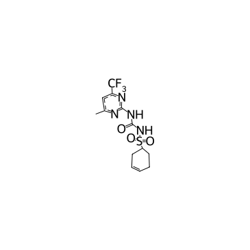 Cc1cc(C(F)(F)F)nc(NC(=O)NS(=O)(=O)C2CC=CCC2)n1